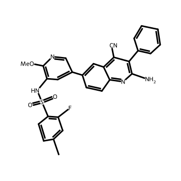 COc1ncc(-c2ccc3nc(N)c(-c4ccccc4)c(C#N)c3c2)cc1NS(=O)(=O)c1ccc(C)cc1F